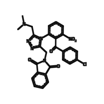 CN(C)Cc1nnc(CN2C(=O)c3ccccc3C2=O)n1-c1cccc([N+](=O)[O-])c1C(=O)c1ccc(Cl)cc1